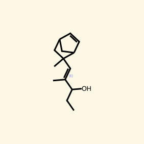 CCC(O)/C(C)=C/C1(C)CC2C=CC1C2